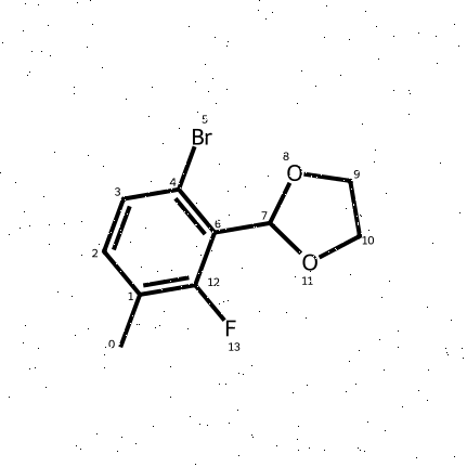 Cc1ccc(Br)c(C2OCCO2)c1F